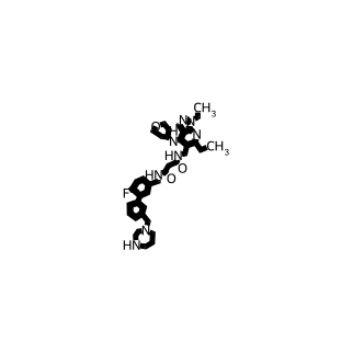 CCc1nc2c(cnn2CC)c(NC2CCOCC2)c1CNC(=O)CC(=O)NCc1ccc(F)c(-c2cccc(CN3CCCNCC3)c2)c1